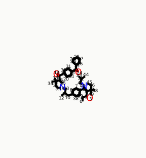 CCC(=O)C1=C(c2ccc(CC(C)CN3C=C(C(=O)c4ccc(C(=O)c5ccccc5)cc4)C(C)(C)CC3)cc2)N(CC(C)C)CCC1(C)C